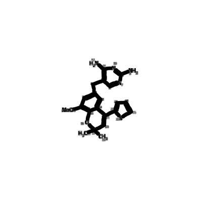 COc1cc(Cc2cnc(N)nc2N)cc2c1OC(C)(C)C=C2c1cccs1